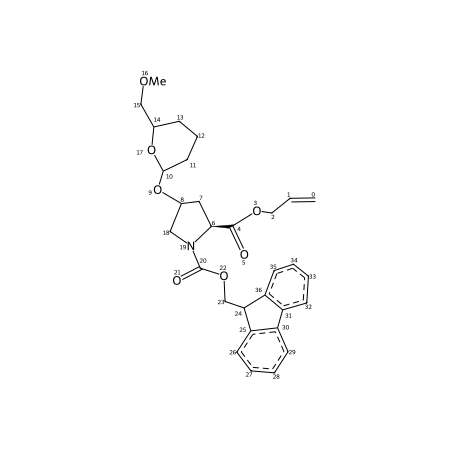 C=CCOC(=O)[C@@H]1CC(OC2CCCC(COC)O2)CN1C(=O)OCC1c2ccccc2-c2ccccc21